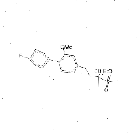 CCOC(=O)C(C)(CCc1ccc(-c2ccc(F)cc2)c(OC)c1)S(C)(=O)=O